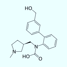 CN1CC[C@@H](CN(C(=O)O)c2ccccc2-c2cccc(CO)c2)C1